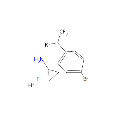 FC(F)(F)[CH]([K])c1ccc(Br)cc1.NC1CC1.[F-].[H+]